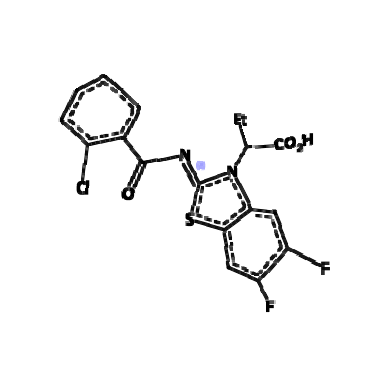 CCC(C(=O)O)n1/c(=N/C(=O)c2ccccc2Cl)sc2cc(F)c(F)cc21